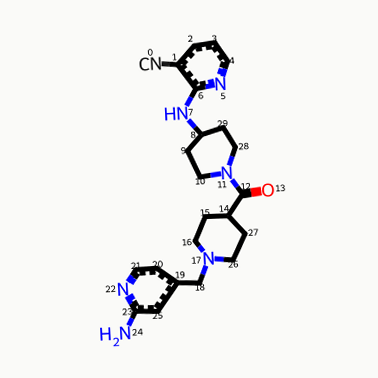 [C-]#[N+]c1cccnc1NC1CCN(C(=O)C2CCN(Cc3ccnc(N)c3)CC2)CC1